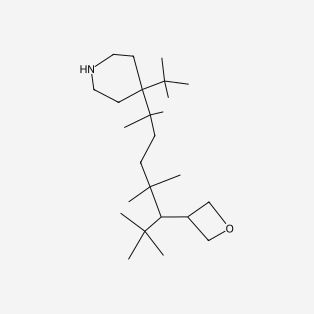 CC(C)(C)C(C1COC1)C(C)(C)CCC(C)(C)C1(C(C)(C)C)CCNCC1